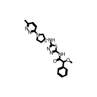 COC(C(=O)Nc1nnc(N[C@@H]2CCN(c3ccc(C)nn3)C2)s1)c1ccccc1